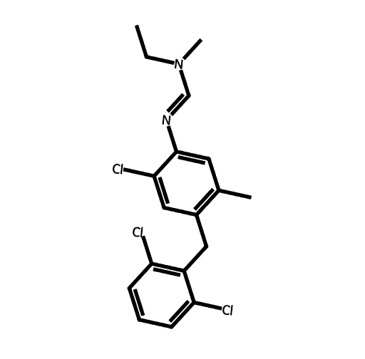 CCN(C)C=Nc1cc(C)c(Cc2c(Cl)cccc2Cl)cc1Cl